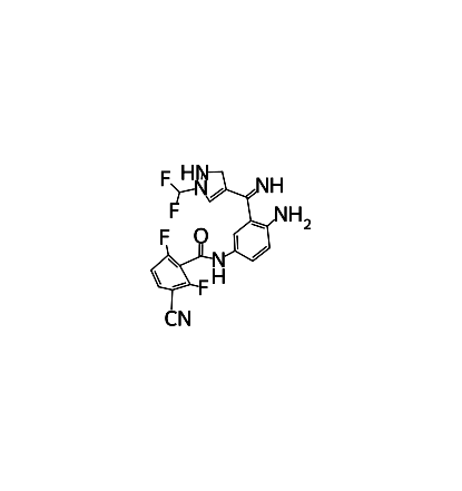 N#Cc1ccc(F)c(C(=O)Nc2ccc(N)c(C(=N)C3=CN(C(F)F)NC3)c2)c1F